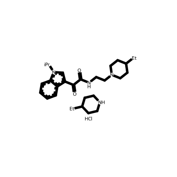 CCC1CCN(CCNC(=O)C(=O)c2cn(C(C)C)c3ccccc23)CC1.CCC1CCNCC1.Cl